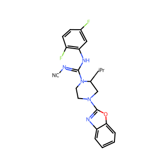 CC(C)C1CN(c2nc3ccccc3o2)CCN1/C(=N\C#N)Nc1cc(F)ccc1F